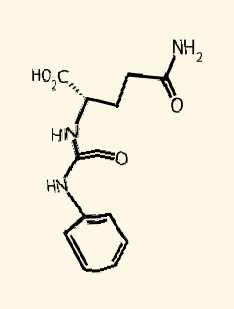 NC(=O)CC[C@H](NC(=O)Nc1ccccc1)C(=O)O